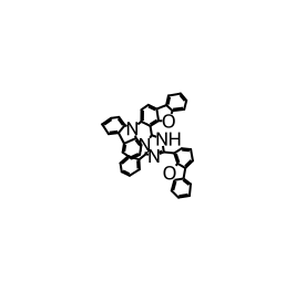 c1ccc(C2=NC(c3c(-n4c5ccccc5c5ccccc54)ccc4c3oc3ccccc34)NC(c3cccc4c3oc3ccccc34)=N2)cc1